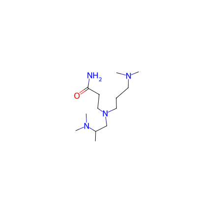 CC(CN(CCCN(C)C)CCC(N)=O)N(C)C